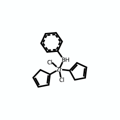 [Cl][Zr]([Cl])([BH]c1ccccc1)([C]1=CC=CC1)[C]1=CC=CC1